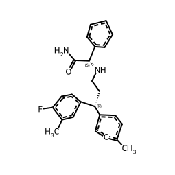 Cc1ccc([C@@H](CCN[C@H](C(N)=O)c2ccccc2)c2ccc(F)c(C)c2)cc1